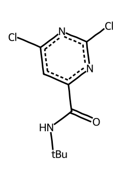 CC(C)(C)NC(=O)c1cc(Cl)nc(Cl)n1